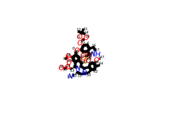 COc1cc2c(cc1OC(=O)OC(C)(C)C)CCN[C@]2(C)CS[C@@H]1c2c(O)c(C)c3c(c2[C@H](COC=O)N2C1C1c4c(cc(C)c(OC)c4O)C4C([C@@H]2C#N)N41)OCO3